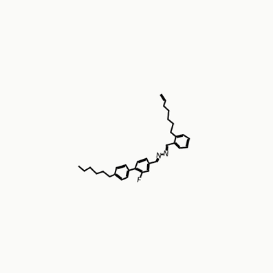 C=CCCCCCc1ccccc1C=NN=Cc1ccc(-c2ccc(CCCCCC)cc2)c(F)c1